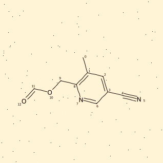 Cc1cc(C#N)cnc1COC=O